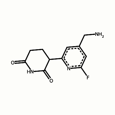 NCc1cc(F)nc(C2CCC(=O)NC2=O)c1